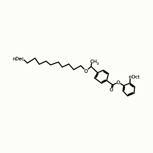 CCCCCCCCCCCCCCCCCCCCOC(C)c1ccc(C(=O)Oc2ccccc2CCCCCCCC)cc1